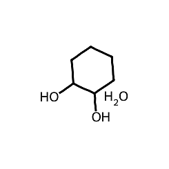 O.OC1CCCCC1O